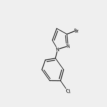 Clc1cccc(-n2ccc(Br)n2)c1